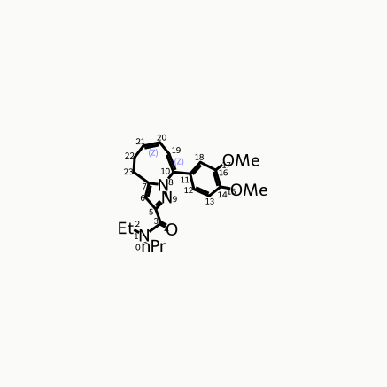 CCCN(CC)C(=O)c1cc2n(n1)/C(c1ccc(OC)c(OC)c1)=C\C=C/CC2